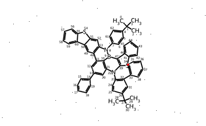 CC(C)(C)c1ccc(N2B3c4c(cc(-c5ccccc5)cc4N(c4ccc(C(C)(C)C)cc4-c4ccccc4)c4sc5ccccc5c43)-c3cc4c(cc32)sc2ccccc24)cc1